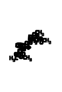 CC(=O)Oc1ccc(C[N+]2(C)C3CCC2CC(OC(=O)C2CCC2C(=O)O[C@H]2CC4CCC(C2)[N@@+]4(C)Cc2ccc(OC(C)=O)c(OC(C)=O)c2)C3)cc1OC(C)=O